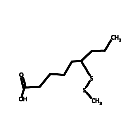 CCCC(CCCCC(=O)O)SSC